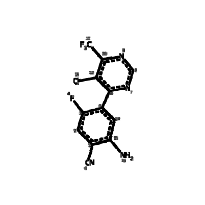 N#Cc1cc(F)c(-c2ncnc(C(F)(F)F)c2Cl)cc1N